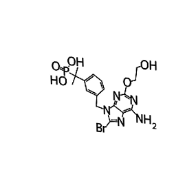 CC(C)(c1cccc(Cn2c(Br)nc3c(N)nc(OCCO)nc32)c1)P(=O)(O)O